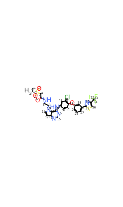 CS(=O)(=O)CC(=O)NCCn1ccc2ncnc(Nc3ccc(Oc4cccc(-c5nc(C(F)(F)F)cs5)c4)c(Cl)c3)c21